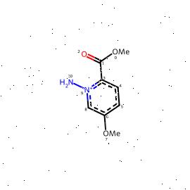 COC(=O)c1ccc(OC)c[n+]1N